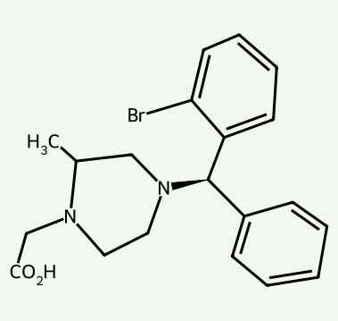 CC1CN([C@H](c2ccccc2)c2ccccc2Br)CCN1CC(=O)O